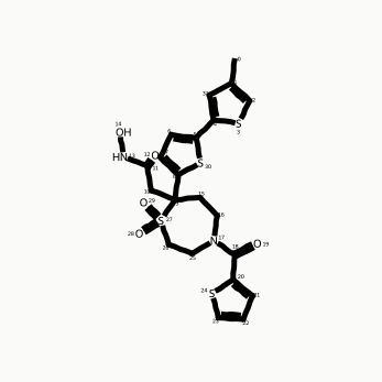 Cc1csc(-c2ccc(C3(CC(=O)NO)CCN(C(=O)c4cccs4)CCS3(=O)=O)s2)c1